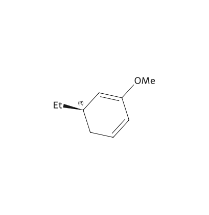 CC[C@H]1C=C(OC)C=CC1